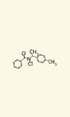 Cc1ccc(C(C)N(Cl)C(=O)c2ccccc2)cc1